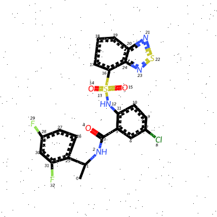 CC(NC(=O)c1cc(Cl)ccc1NS(=O)(=O)c1cccc2nsnc12)c1ccc(F)cc1F